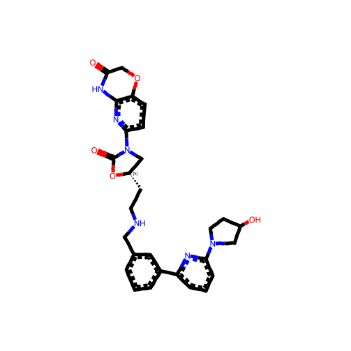 O=C1COc2ccc(N3C[C@H](CCNCc4cccc(-c5cccc(N6CCC(O)C6)n5)c4)OC3=O)nc2N1